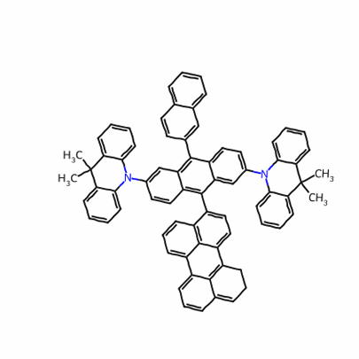 CC1(C)c2ccccc2N(c2ccc3c(-c4ccc5c6c7c(cccc7c7cccc4c57)=CCC6)c4cc(N5c6ccccc6C(C)(C)c6ccccc65)ccc4c(-c4ccc5ccccc5c4)c3c2)c2ccccc21